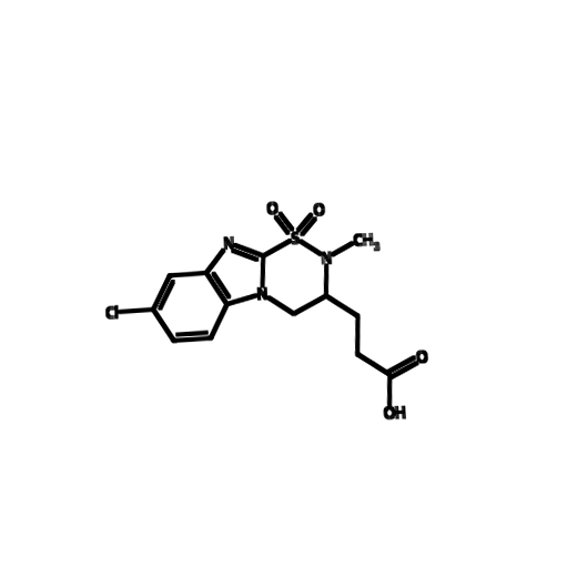 CN1C(CCC(=O)O)Cn2c(nc3cc(Cl)ccc32)S1(=O)=O